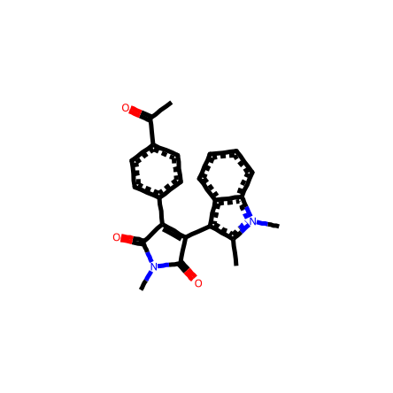 CC(=O)c1ccc(C2=C(c3c(C)n(C)c4ccccc34)C(=O)N(C)C2=O)cc1